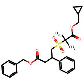 CC(C)(C(=O)OCC1CC1)S(=O)(=O)CC(CC(=O)OCc1ccccc1)c1ccccc1